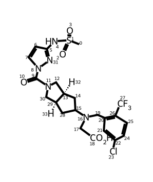 CS(=O)(=O)Nc1ccn(C(=O)N2C[C@H]3CC(N(CC(=O)O)Cc4cc(Cl)ccc4C(F)(F)F)C[C@H]3C2)n1